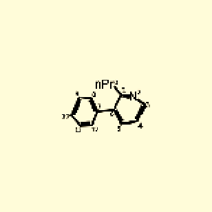 CCCc1ncccc1-c1ccccc1